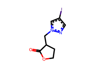 O=C1OCCC1Cn1cc(I)cn1